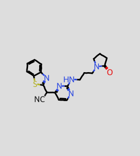 N#CC(c1ccnc(NCCCN2CCCC2=O)n1)c1nc2ccccc2s1